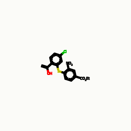 C=C(O)c1ccc(Cl)cc1Sc1ccc(C(=O)OCC)cc1[N+](=O)[O-]